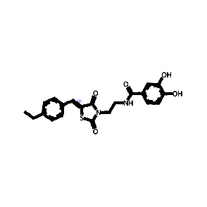 CCc1ccc(/C=C2\SC(=O)N(CCNC(=O)c3ccc(O)c(O)c3)C2=O)cc1